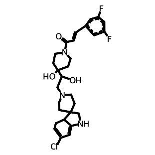 O=C(/C=C/c1cc(F)cc(F)c1)N1CCC(O)(C(O)CN2CCC3(CC2)CNC2=CC(Cl)=CCC23)CC1